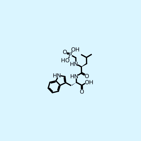 CC(C)C[C@H](NCP(=O)(O)O)C(=O)N[C@@H](Cc1c[nH]c2ccccc12)C(=O)O